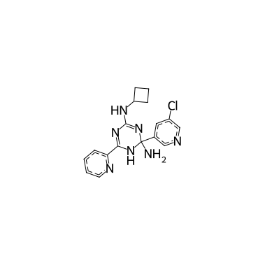 NC1(c2cncc(Cl)c2)N=C(NC2CCC2)N=C(c2ccccn2)N1